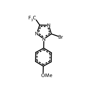 COc1ccc(-n2nc(C(F)(F)F)nc2Br)cc1